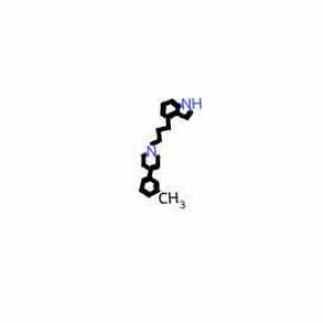 Cc1cccc(C2=CCN(CCCCc3cccc4[nH]ccc34)CC2)c1